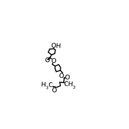 CC(CCC1OC1C)C(=O)OCC1CCC(COC(=O)C2CCC(O)CC2)CC1